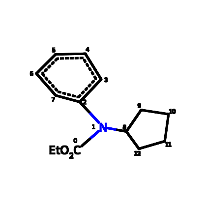 CCOC(=O)N(c1ccccc1)C1CCCC1